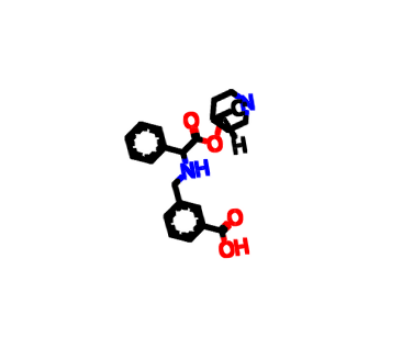 O=C(O)c1cccc(CNC(C(=O)O[C@H]2CN3CCC2CC3)c2ccccc2)c1